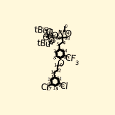 CC1=NC(CCc2ccc(OCCCc3cc(Cl)cc(Cl)c3)c(C(F)(F)F)c2)(COP(=O)(OC(C)(C)C)OC(C)(C)C)CO1